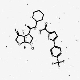 O=C(N[C@H](C(=O)N1C[C@H](Cl)[C@H]2OCC(=O)[C@H]21)C1CCCCC1)c1ccc(-c2cnc(C(F)(F)F)nc2)s1